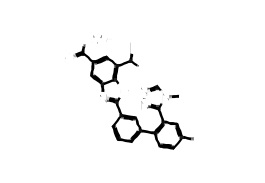 COC(=O)c1cc(C(F)F)c2oc(-c3cccc(-c4ccc(F)cc4-c4nncn4C)c3)nc2c1